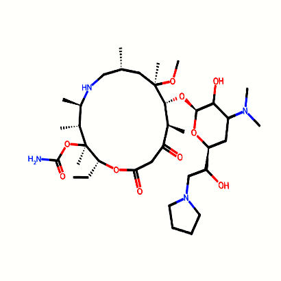 CC[C@H]1OC(=O)CC(=O)[C@H](C)[C@@H](O[C@@H]2O[C@H](C(O)CN3CCCC3)CC(N(C)C)C2O)[C@](C)(OC)C[C@@H](C)CN[C@H](C)[C@@H](C)[C@]1(C)OC(N)=O